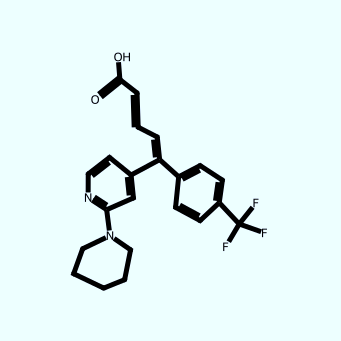 O=C(O)C=CC=C(c1ccc(C(F)(F)F)cc1)c1ccnc(N2CCCCC2)c1